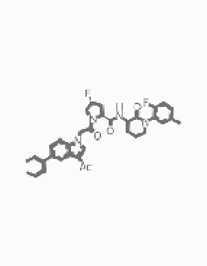 C/C=C\C(=C/C)c1ccc2c(c1)c(C(C)=O)cn2CC(=O)N1C[C@H](F)C[C@H]1C(=O)NC1CCCN(c2cc(C)ccc2F)C1=O